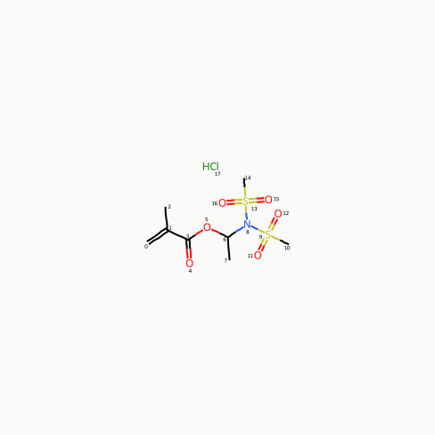 C=C(C)C(=O)OC(C)N(S(C)(=O)=O)S(C)(=O)=O.Cl